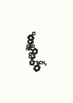 CN(C[C@@H]1CCCN1C(=O)CN1CCC[C@H](NS(=O)(=O)c2cc3cc(Cl)ccc3s2)C1=O)c1ccccc1